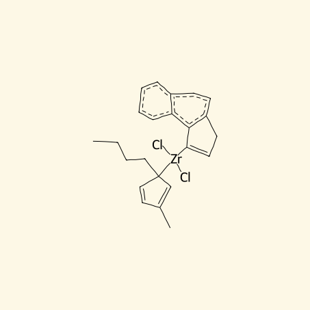 CCCC[C]1([Zr]([Cl])([Cl])[C]2=CCc3ccc4ccccc4c32)C=CC(C)=C1